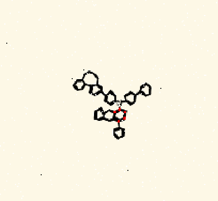 c1ccc(-c2ccc(N(c3ccc(-c4ccc5c(c4)CCCCc4ccccc4-5)cc3)c3ccc(-c4ccccc4)c4c3C3c5ccccc5C4c4ccccc43)cc2)cc1